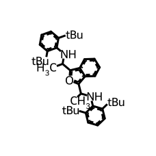 CC(Nc1c(C(C)(C)C)cccc1C(C)(C)C)c1oc(C(C)Nc2c(C(C)(C)C)cccc2C(C)(C)C)c2ccccc12